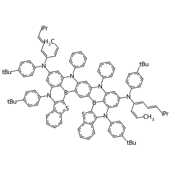 C\C=C/C(=C\C=C\C(C)C)N(c1ccc(C(C)(C)C)cc1)c1cc2c3c(c1)N(c1ccc(C(C)(C)C)cc1)c1c(sc4ccccc14)B3c1cc3c(cc1N2c1ccccc1)N(c1ccccc1)c1cc(N(C(/C=C\C)=C/C=C/C(C)C)c2ccc(C(C)(C)C)cc2)cc2c1B3c1sc3ccccc3c1N2c1ccc(C(C)(C)C)cc1